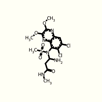 CNC(=O)CC(N)N(c1c(Cl)c(Cl)cc2nc(OC)c(OC)nc12)S(C)(=O)=O